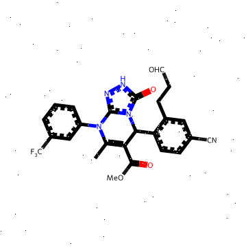 COC(=O)C1=C(C)N(c2cccc(C(F)(F)F)c2)c2n[nH]c(=O)n2C1c1ccc(C#N)cc1CCC=O